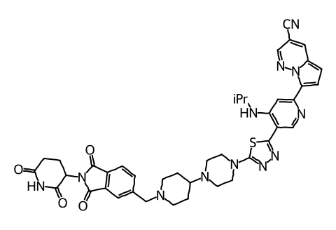 CC(C)Nc1cc(-c2ccc3cc(C#N)cnn23)ncc1-c1nnc(N2CCN(C3CCN(Cc4ccc5c(c4)C(=O)N(C4CCC(=O)NC4=O)C5=O)CC3)CC2)s1